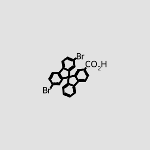 O=C(O)c1ccc2c(c1)C1(c3ccccc3-2)c2cc(Br)ccc2-c2ccc(Br)cc21